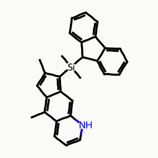 Cc1cc2c(C)c3ccc[nH]c3cc2c1[Si](C)(C)C1c2ccccc2-c2ccccc21